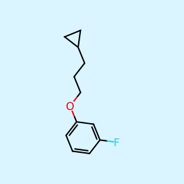 Fc1cccc(OCCCC2CC2)c1